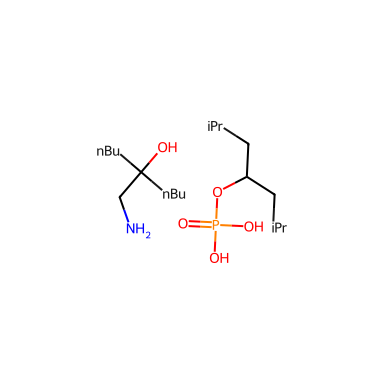 CC(C)CC(CC(C)C)OP(=O)(O)O.CCCCC(O)(CN)CCCC